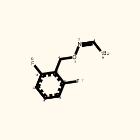 CC(C)(C)/[C]=N\OCc1c(F)cccc1F